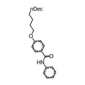 CCCCCCCCCCCCCCOc1ccc(C(=O)Nc2ccccc2)cc1